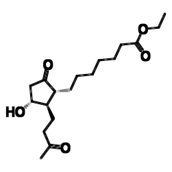 CCOC(=O)CCCCCC[C@H]1C(=O)C[C@@H](O)[C@@H]1CCC(C)=O